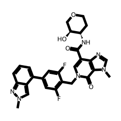 Cn1cc2c(-c3cc(F)c(Cn4cc(C(=O)N[C@H]5CCOC[C@@H]5O)c5ncn(C)c5c4=O)c(F)c3)cccc2n1